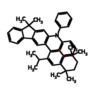 CC(C)c1cc2c(cc1-c1cc3c(cc1N(c1ccccc1)c1ccccc1)C(C)(C)c1ccccc1-3)C(C)(C)CCC2(C)C